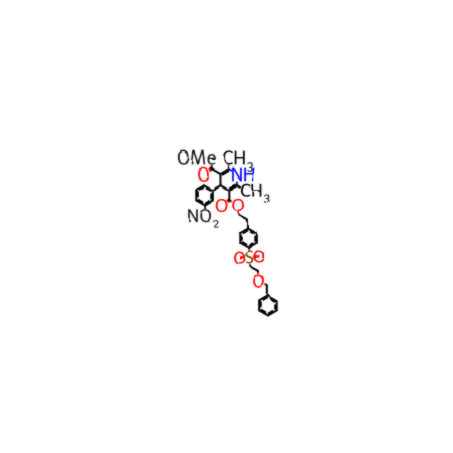 COC(=O)C1=C(C)NC(C)=C(C(=O)OCCc2ccc(S(=O)(=O)CCOCc3ccccc3)cc2)C1c1cccc([N+](=O)[O-])c1